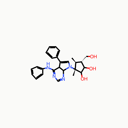 C[C@H]1[C@H](CO)C(O)C(O)[C@]1(C)N1C=C(c2ccccc2)C2C(Nc3ccccc3)=NC=NC21